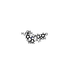 CC(O)C1(c2ccc(Cl)cc2)CCN(CC/C=C2\C3=C(COc4ccc(C(C)(C)O)cc42)NCC=C3)CC1